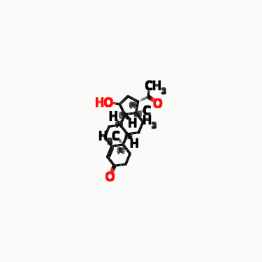 CC(=O)[C@H]1CC(O)[C@H]2[C@@H]3CCC4=CC(=O)CC[C@]4(C)[C@H]3CC[C@]12C